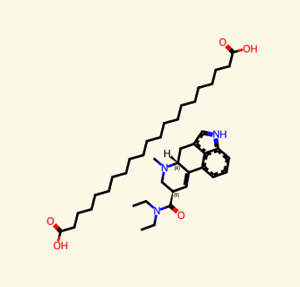 CCN(CC)C(=O)[C@@H]1C=C2c3cccc4[nH]cc(c34)C[C@H]2N(C)C1.O=C(O)CCCCCCCCCCCCCCCCCCCC(=O)O